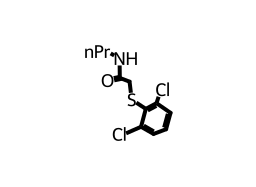 CCCNC(=O)CSc1c(Cl)cccc1Cl